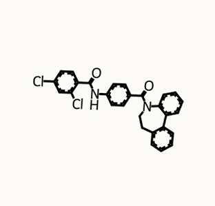 O=C(Nc1ccc(C(=O)N2CCc3ccccc3-c3ccccc32)cc1)c1ccc(Cl)cc1Cl